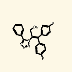 OCC(=C(c1ccc(F)cc1)c1ccc(F)cc1)n1nnnc1-c1ccccc1